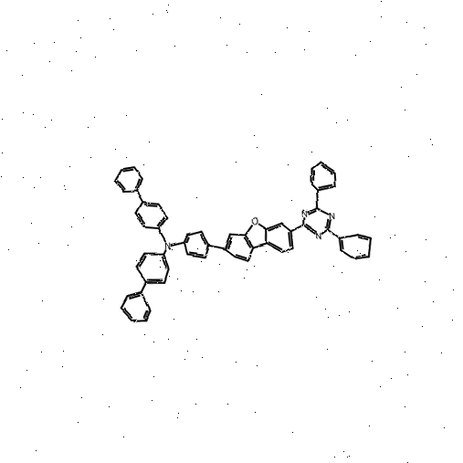 c1ccc(-c2ccc(N(c3ccc(-c4ccccc4)cc3)c3ccc(-c4ccc5c(c4)oc4cc(-c6nc(-c7ccccc7)nc(-c7ccccc7)n6)ccc45)cc3)cc2)cc1